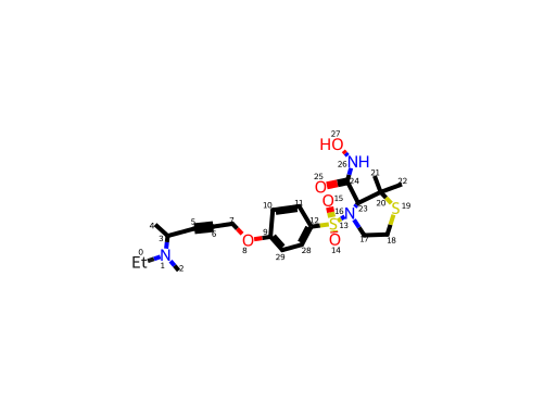 CCN(C)C(C)C#CCOc1ccc(S(=O)(=O)N2CCSC(C)(C)C2C(=O)NO)cc1